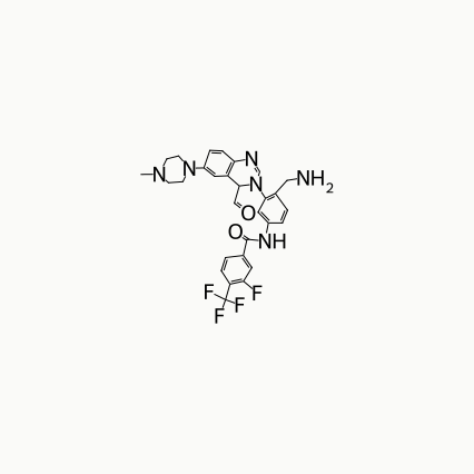 CN1CCN(c2ccc3c(c2)C(C=O)N(c2cc(NC(=O)c4ccc(C(F)(F)F)c(F)c4)ccc2CN)C=N3)CC1